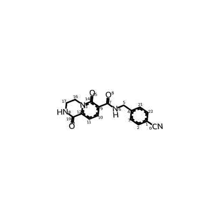 N#Cc1ccc(CNC(=O)c2ccc3n(c2=O)CCNC3=O)cc1